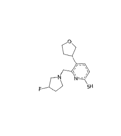 FC1CCN(Cc2nc(S)ccc2C2CCOC2)C1